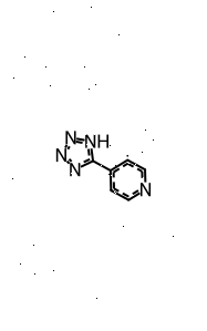 [c]1cnccc1-c1nnn[nH]1